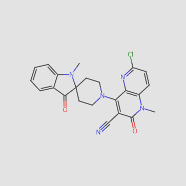 CN1c2ccccc2C(=O)C12CCN(c1c(C#N)c(=O)n(C)c3ccc(Cl)nc13)CC2